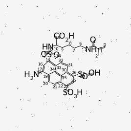 C=C(C)C(=O)NCCCCC(NS(=O)(=O)c1cc(N)c2ccc3c(S(=O)(=O)O)cc(SOO)c4ccc1c2c43)C(=O)O